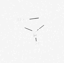 CC(=O)O.C[CH2][SnH]([CH3])[CH3]